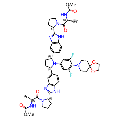 COC(=O)N[C@H](C(=O)N1CCC[C@H]1c1nc2cc([C@H]3CC[C@H](c4ccc5[nH]c([C@@H]6CCCN6C(=O)[C@@H](NC(=O)OC)C(C)C)nc5c4)N3c3cc(F)c(N4CCC5(CC4)OCCO5)c(F)c3)ccc2[nH]1)C(C)C